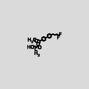 C=C(CO)C(=O)OCC(COC)c1ccc(-c2ccc(CCC=C(F)F)cc2)cc1